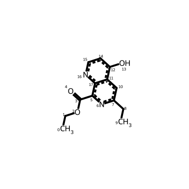 CCOC(=O)c1nc(CC)cc2c(O)ccnc12